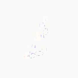 O=C1CSc2ccc(N3C[C@@H](CCCN[C@H]4Cn5c(=O)ccc6ccc(Cl)c4c65)OC3=O)cc2N1